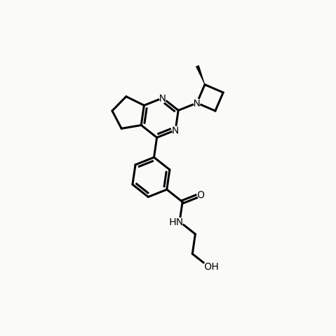 C[C@H]1CCN1c1nc2c(c(-c3cccc(C(=O)NCCO)c3)n1)CCC2